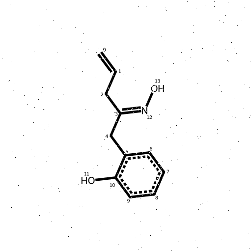 C=CCC(Cc1ccccc1O)=NO